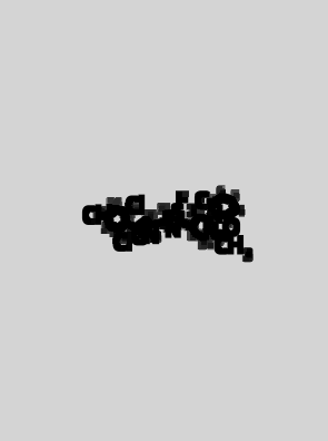 CC(Oc1cccc(C(F)(F)F)n1)N1CCC(c2nc(C3=NOC(c4c(Cl)cc(Cl)cc4Cl)C3)cs2)CC1